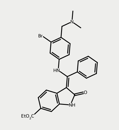 CCOC(=O)c1ccc2c(c1)NC(=O)C2=C(Nc1ccc(CN(C)C)c(Br)c1)c1ccccc1